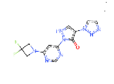 O=c1c(-n2ccnn2)c[nH]n1-c1cc(N2CC(F)(F)C2)ncn1